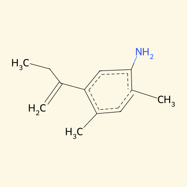 C=C(CC)c1cc(N)c(C)cc1C